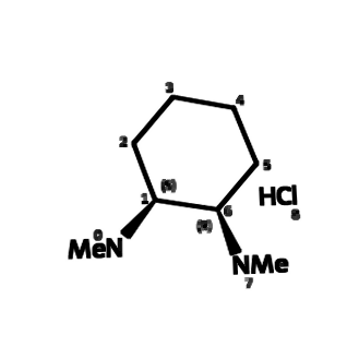 CN[C@H]1CCCC[C@H]1NC.Cl